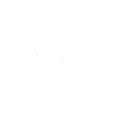 O=C(O)CC(NC(=O)OCc1ccccc1)C(=O)Cn1nnc(C2=Cc3ccccc32)n1